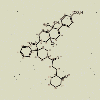 CC1(C)C(c2ccc(C(=O)O)cc2)=CC[C@]2(C)CN(C(=O)C3(c4ccccc4)CCN(C(=O)CCC4CCCCC4=O)CC3)CC=C12